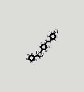 Clc1ccc(C=Cc2ccc(-c3ncc(-c4ccccc4)o3)cc2)cc1